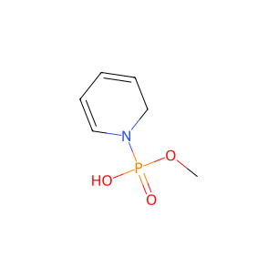 COP(=O)(O)N1C=CC=CC1